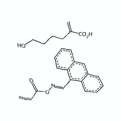 C=C(CCCCO)C(=O)O.C=CC(=O)ON=Cc1c2ccccc2cc2ccccc12